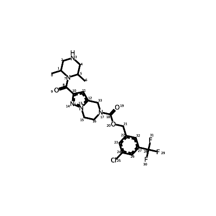 CC1CNCC(C)N1C(=O)c1cc2n(n1)CCN(C(=O)OCc1cc(Cl)cc(C(F)(F)F)c1)C2